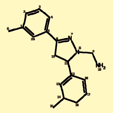 Cc1cccc(C2=NN(CN)C(C3=CC(C)CC=C3)C2)c1